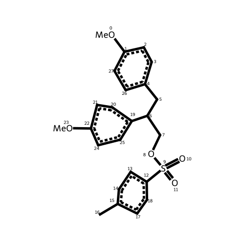 COc1ccc(CC(COS(=O)(=O)c2ccc(C)cc2)c2ccc(OC)cc2)cc1